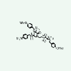 COc1ccc(CSC(C)(C)C(=O)NCCN(CCNCc2ccc(N)cc2)C(=O)C(C)(C)SCc2ccc(OC)cc2)cc1